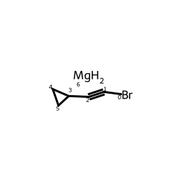 BrC#CC1CC1.[MgH2]